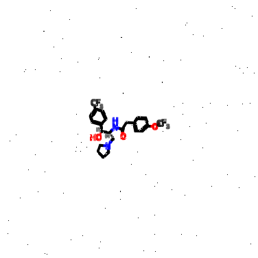 O=C(Cc1ccc(OC(F)(F)F)cc1)N[C@H](CN1CCCC1)[C@H](O)c1ccc(C(F)(F)F)cc1